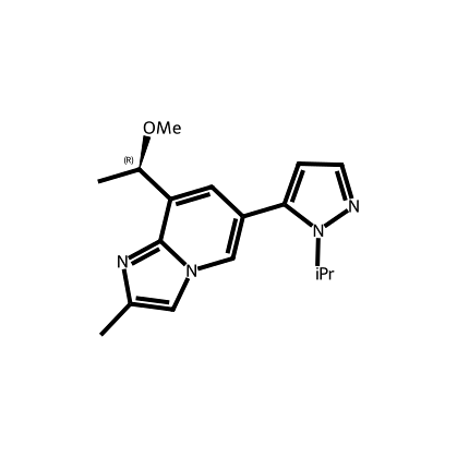 CO[C@H](C)c1cc(-c2ccnn2C(C)C)cn2cc(C)nc12